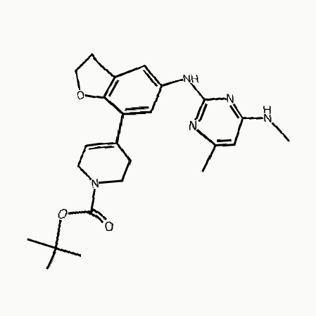 CNc1cc(C)nc(Nc2cc3c(c(C4=CCN(C(=O)OC(C)(C)C)CC4)c2)OCC3)n1